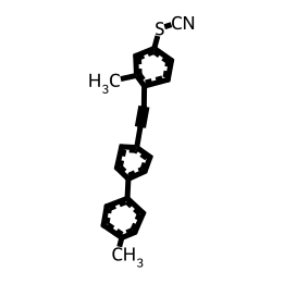 Cc1ccc(-c2ccc(C#Cc3ccc(SC#N)cc3C)cc2)cc1